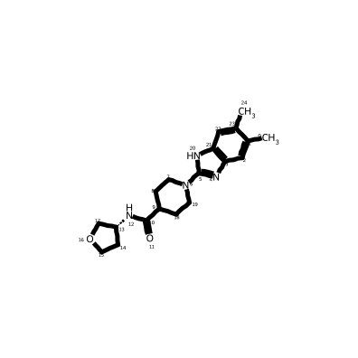 Cc1cc2nc(N3CCC(C(=O)N[C@@H]4CCOC4)CC3)[nH]c2cc1C